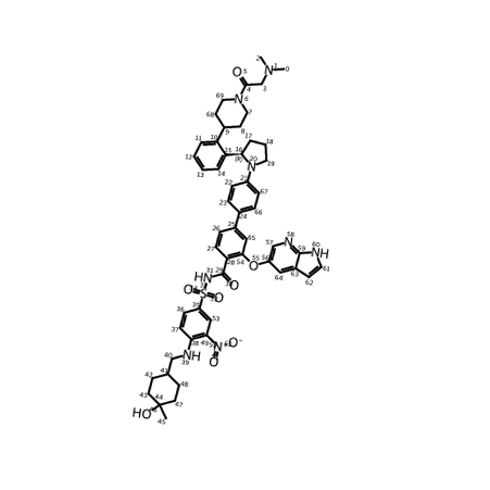 CN(C)CC(=O)N1CCC(c2ccccc2[C@H]2CCCN2c2ccc(-c3ccc(C(=O)NS(=O)(=O)c4ccc(NCC5CCC(C)(O)CC5)c([N+](=O)[O-])c4)c(Oc4cnc5[nH]ccc5c4)c3)cc2)CC1